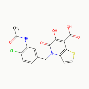 CC(=O)Nc1cc(Cn2c(=O)c(O)c(C(=O)O)c3sccc32)ccc1Cl